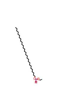 CCCCCCCCCCCCCCCCCCCCCCCCCCCCCCO[PH](=O)OCC